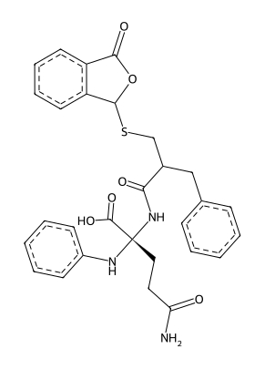 NC(=O)CC[C@@](NC(=O)C(CSC1OC(=O)c2ccccc21)Cc1ccccc1)(Nc1ccccc1)C(=O)O